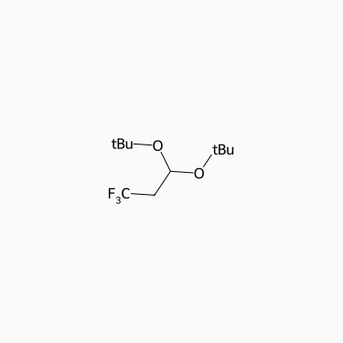 CC(C)(C)OC(CC(F)(F)F)OC(C)(C)C